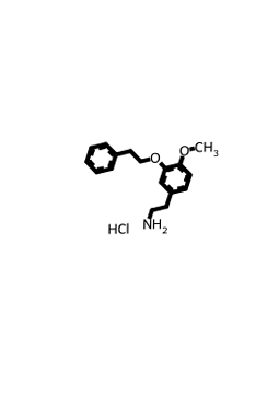 COc1ccc(CCN)cc1OCCc1ccccc1.Cl